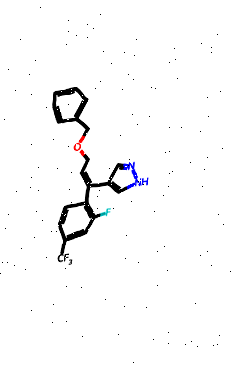 Fc1cc(C(F)(F)F)ccc1C(=CCOCc1ccccc1)c1cn[nH]c1